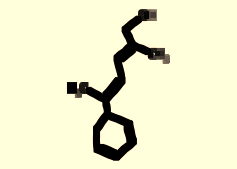 C/C(=C\C=C(/C)C1C=CC=CC1)CO